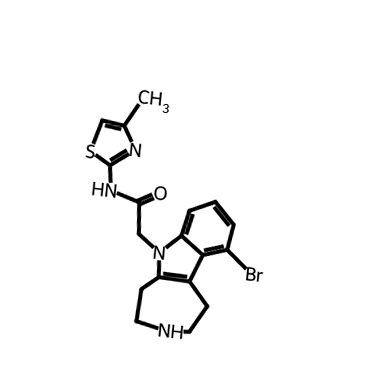 Cc1csc(NC(=O)Cn2c3c(c4c(Br)cccc42)CCNCC3)n1